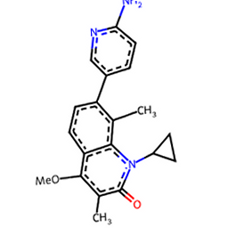 COc1c(C)c(=O)n(C2CC2)c2c(C)c(-c3ccc(N)nc3)ccc12